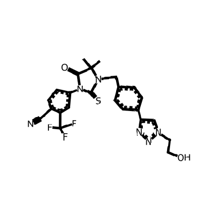 CC1(C)C(=O)N(c2ccc(C#N)c(C(F)(F)F)c2)C(=S)N1Cc1ccc(-c2cn(CCO)nn2)cc1